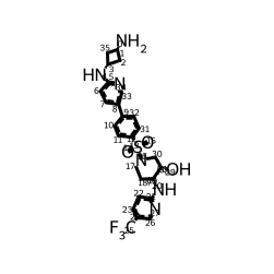 N[C@H]1C[C@@H](Nc2ccc(-c3ccc(S(=O)(=O)N4CC[C@@H](Nc5ccc(C(F)(F)F)cn5)[C@@H](O)C4)cc3)cn2)C1